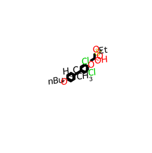 CCCCOc1ccc(C(C)(C)c2cc(Cl)c(OC[C@@H](O)CS(=O)(=O)CC)c(Cl)c2)cc1